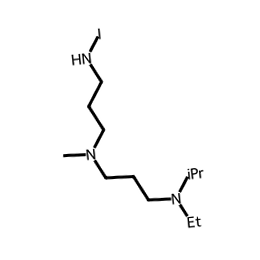 CCN(CCCN(C)CCCNI)C(C)C